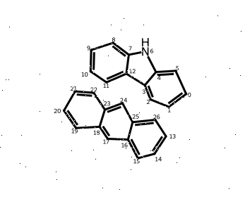 c1ccc2c(c1)[nH]c1ccccc12.c1ccc2cc3ccccc3cc2c1